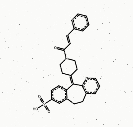 O=C(C=Cc1ccccc1)N1CCC(=C2c3ccc(S(=O)(=O)O)cc3CCc3cccnc32)CC1